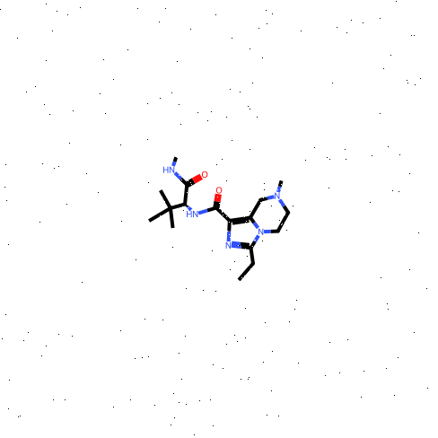 CCc1nc(C(=O)N[C@H](C(=O)NC)C(C)(C)C)c2n1CCN(C)C2